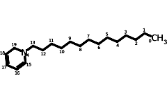 CCCCCCCCCCCCCCN1C=CC=CC1